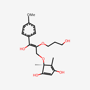 COc1ccc(/C(O)=C(/CO[C@]2(C)C(O)=CC(O)=C2C)OCCCO)cc1